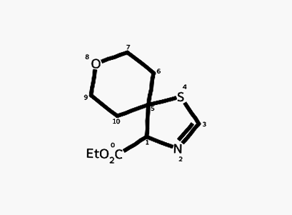 CCOC(=O)C1N=CSC12CCOCC2